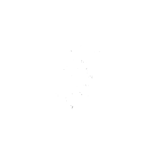 Cc1nc(C(F)(F)F)ccc1SN1[C@@H]2CC[C@H]1CC(NC1CC3(COC3)C1)C2